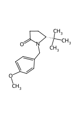 COc1ccc(CN2C(=O)CC[C@@H]2C(C)(C)C)cc1